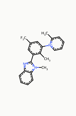 Cc1c(-c2nc3ccccc3n2C)cc(C(F)(F)F)cc1-[n+]1ccccc1C